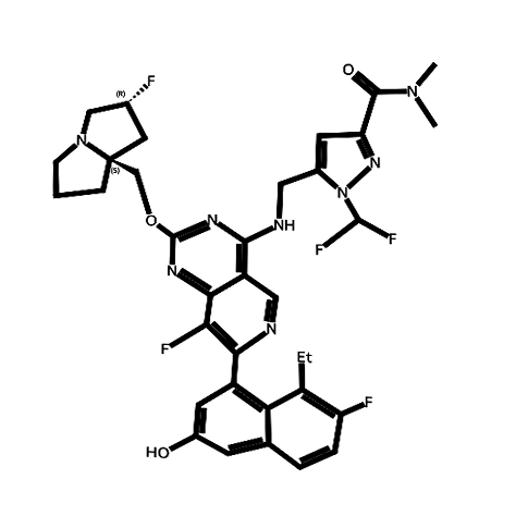 CCc1c(F)ccc2cc(O)cc(-c3ncc4c(NCc5cc(C(=O)N(C)C)nn5C(F)F)nc(OC[C@@]56CCCN5C[C@H](F)C6)nc4c3F)c12